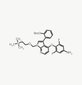 COc1ccccc1-c1cn(COCC[Si](C)(C)C)c2nccc(Oc3c(F)cc(N)cc3F)c12